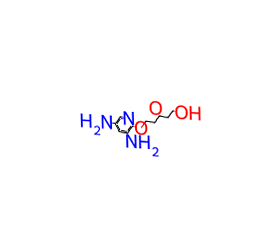 Nc1cnc(OCCC(=O)CCO)c(N)c1